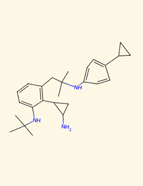 CC(C)(C)Nc1cccc(CC(C)(C)Nc2ccc(C3CC3)cc2)c1C1CC1N